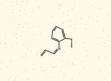 C=C/C=N\c1ccccc1CC